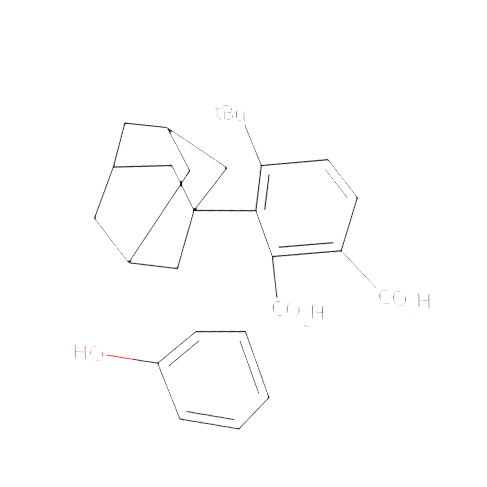 CC(C)(C)c1ccc(C(=O)O)c(C(=O)O)c1C12CC3CC(CC(C3)C1)C2.Oc1ccccc1